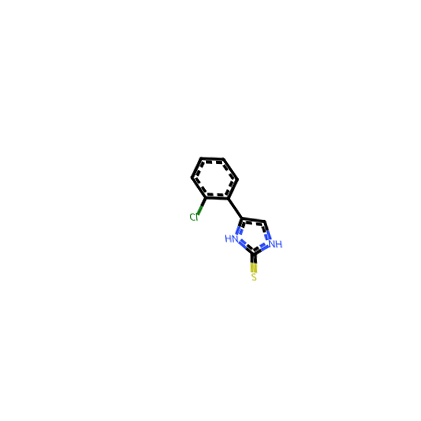 S=c1[nH]cc(-c2ccccc2Cl)[nH]1